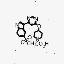 CS(=O)(=O)C1=CCC2=NC=C(c3cc(OC4CCN(C(=O)O)CC4)ncn3)C2=C1